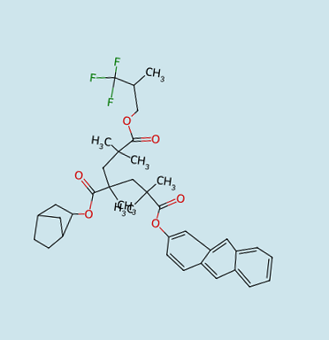 CC(COC(=O)C(C)(C)CC(C)(CC(C)(C)C(=O)Oc1ccc2cc3ccccc3cc2c1)C(=O)OC1CC2CCC1C2)C(F)(F)F